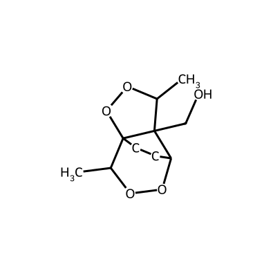 CC1OOC2CCC13OOC(C)C23CO